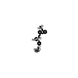 CC(=O)NCCc1ccccc1Cc1ccccc1CCC(=O)N1CCNC[C@H]1Cc1ccc(OCC(=O)NS(C)(=O)=O)cc1